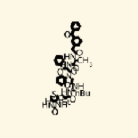 CCCCC(NC(=O)CN1C(=O)[C@@H](NC(=O)[C@H](C)NC(=O)Cc2cccc(C(=O)c3ccccc3)c2)[C@@H](c2ccccc2)Oc2ccccc21)NC(=O)C(CC)C[C@@H]1SC[C@@H]2NC(=O)N[C@@H]21